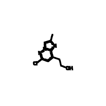 Cc1cn2nc(Cl)cc(CCO)c2n1